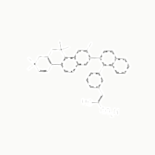 Cc1cc2c3c(ccc2cc1-c1ccc2ccccc2c1-c1cccc(C=C(O)C(=O)O)c1)C1=C(CC(C)(C)C=C1)CC3(C)C